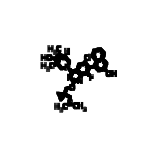 C[C@@H]1C(O)C2(C)C[C@@H]1CN(c1nc(OCC3(CN(C)C)CC3)nc3c(F)c(-c4cc(O)cc5ccccc45)c(Cl)cc13)C2